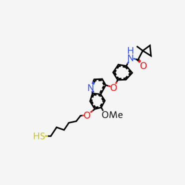 COc1cc2c(Oc3ccc(NC(=O)C4(C)CC4)cc3)ccnc2cc1OCCCCCCS